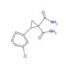 NC(=O)C1(C(N)=O)CC1c1cccc(Cl)c1